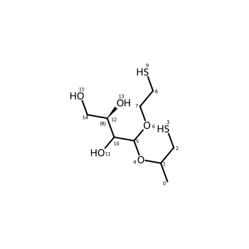 CC(CS)OC(OCCS)C(O)[C@H](O)CO